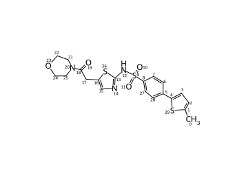 Cc1ccc(-c2ccc(S(=O)(=O)Nc3ncc(CC(=O)N4CCOCC4)s3)cc2)s1